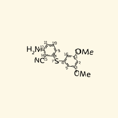 COc1cc(OC)cc(Sc2cccc(N)c2C#N)c1